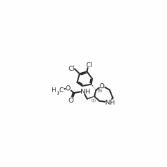 COC(=O)NC[C@@H]1CNCCO[C@H]1c1ccc(Cl)c(Cl)c1